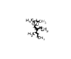 C=NC1/C(=C\C2OC(C)=CC(C)O2)C1/C(C)=C/CC